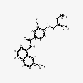 C=C(CN)COc1ccc(C(=O)Nc2ncnc3ccc(C)cc23)cc1Cl